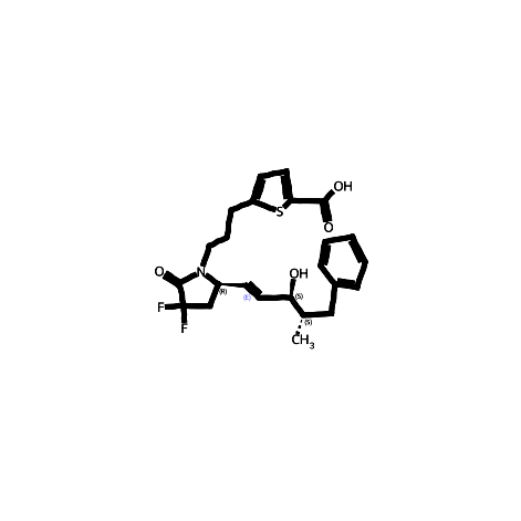 C[C@@H](Cc1ccccc1)[C@H](O)/C=C/[C@H]1CC(F)(F)C(=O)N1CCCc1ccc(C(=O)O)s1